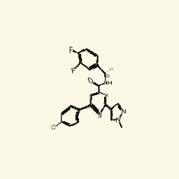 C[C@H](NC(=O)c1cc(-c2ccc(Cl)cc2)nc(-c2cnn(C)c2)n1)c1ccc(F)c(F)c1